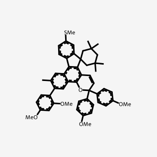 COc1ccc(C2(c3ccc(OC)cc3)C=Cc3c4c(c5cc(C)c(-c6ccc(OC)cc6OC)cc5c3O2)-c2ccc(SC)cc2C42CC(C)(C)CC(C)(C)C2)cc1